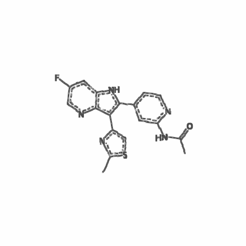 CC(=O)Nc1cc(-c2[nH]c3cc(F)cnc3c2-c2csc(C)n2)ccn1